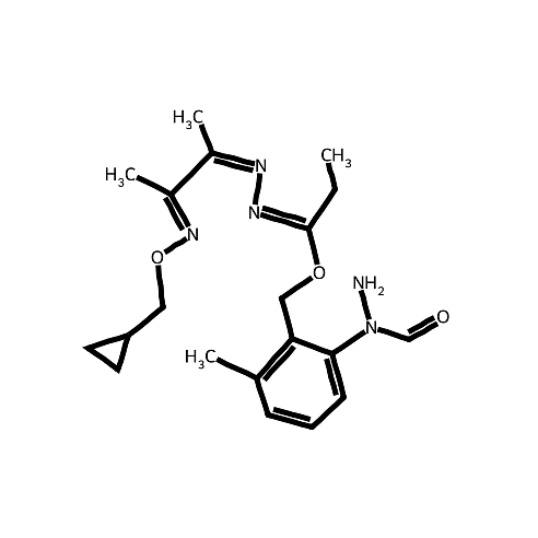 CCC(=NN=C(C)C(C)=NOCC1CC1)OCc1c(C)cccc1N(N)C=O